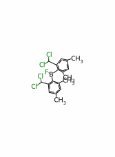 Cc1cc(C)c(B(F)c2c(C)cc(C)cc2C(Cl)Cl)c(C(Cl)Cl)c1